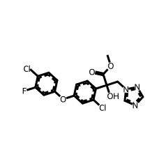 COC(=O)C(O)(Cn1cncn1)c1ccc(Oc2ccc(Cl)c(F)c2)cc1Cl